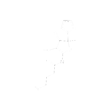 CC1(c2ccco2)OC(NC(=O)CCCBr)=C(O)C1=O